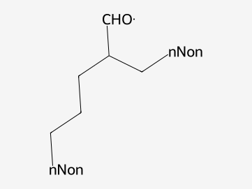 CCCCCCCCCCCCC([C]=O)CCCCCCCCCC